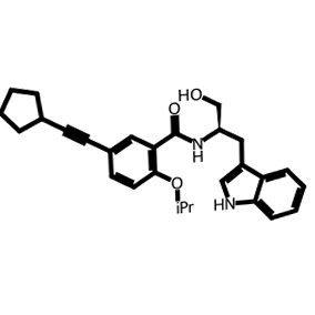 CC(C)Oc1ccc(C#CC2CCCC2)cc1C(=O)N[C@@H](CO)Cc1c[nH]c2ccccc12